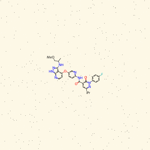 COCC(C)Nc1n[nH]c2nccc(Oc3ccc(NC(=O)c4cc(C(C)C)nn(-c5ccc(F)cc5)c4=O)nc3)c12